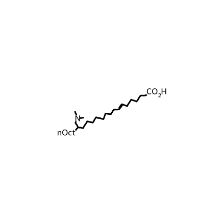 CCCCCCCCC(CCCCCCCCC=CCCCCCC(=O)O)CN(C)C